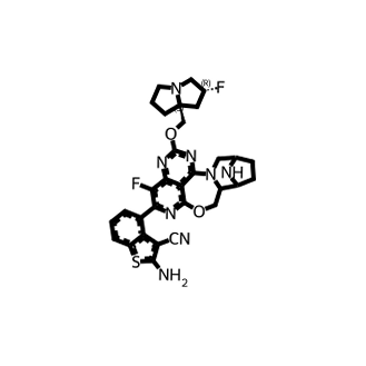 N#Cc1c(N)sc2cccc(-c3nc4c5c(nc(OC[C@@]67CCCN6C[C@H](F)C7)nc5c3F)N3CC5CCC(N5)C3CO4)c12